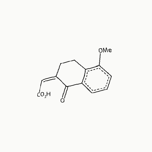 COc1cccc2c1CC/C(=C/C(=O)O)C2=O